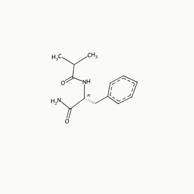 CC(C)C(=O)N[C@H](Cc1ccccc1)C(N)=O